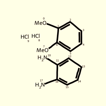 COc1ccccc1OC.Cl.Cl.Nc1ccccc1N